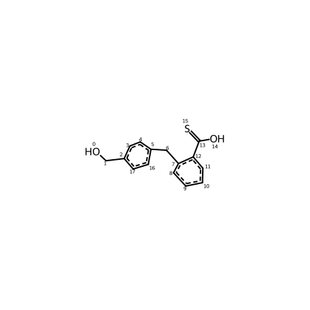 OCc1ccc(Cc2ccccc2C(O)=S)cc1